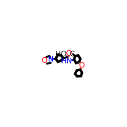 O=C(Nc1cc(Oc2ccccc2)ccc1C(=O)O)c1ccc(N2CCOCC2)cc1